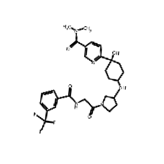 CN(C)C(=O)c1ccc(C2(O)CCC(NC3CCN(C(=O)CNC(=O)c4cccc(C(F)(F)F)c4)C3)CC2)nc1